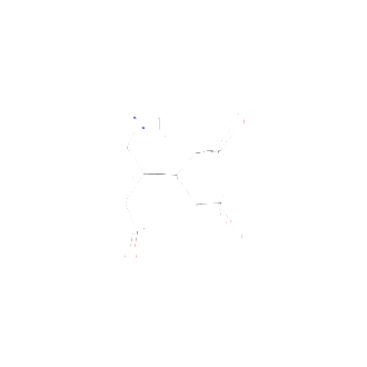 NCC(CC=O)[C](CC=O)CC=O